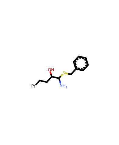 CC(C)CCC(O)C(N)SCc1ccccc1